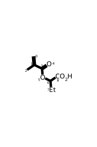 C=C(C)C(=O)OC(CC)C(=O)O